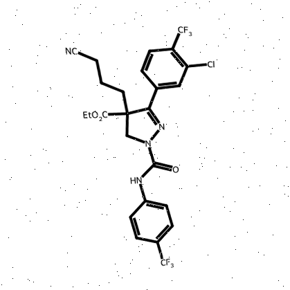 CCOC(=O)C1(CCCC#N)CN(C(=O)Nc2ccc(C(F)(F)F)cc2)N=C1c1ccc(C(F)(F)F)c(Cl)c1